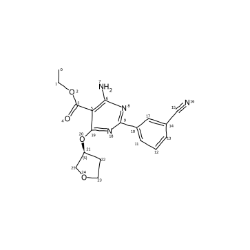 CCOC(=O)c1c(N)nc(-c2cccc(C#N)c2)nc1O[C@H]1CCOC1